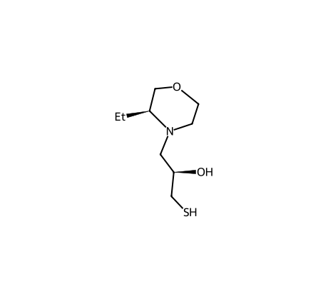 CC[C@H]1COCCN1C[C@@H](O)CS